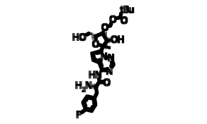 CC(C)(C)C(=O)OCO[C@H]1[C@@H](O)[C@](C)(c2ccc3c(NC(=O)[C@@H](N)Cc4ccc(F)cc4)ncnn23)O[C@@H]1CO